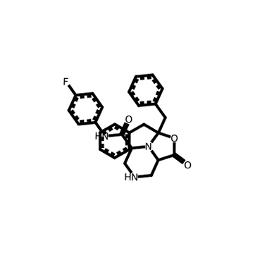 O=C(Nc1ccc(F)cc1)C1CNCC2C(=O)OC(Cc3ccccc3)(Cc3ccccc3)N12